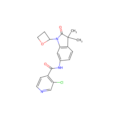 CC1(C)C(=O)N(C2CCO2)c2cc(NC(=O)c3ccncc3Cl)ccc21